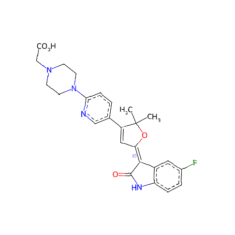 CC1(C)O/C(=C2/C(=O)Nc3ccc(F)cc32)C=C1c1ccc(N2CCN(CC(=O)O)CC2)nc1